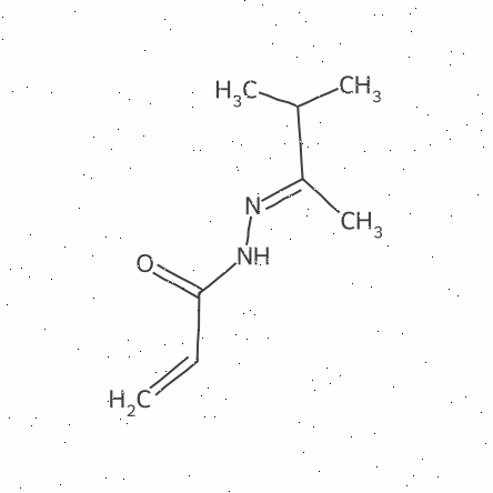 C=CC(=O)N/N=C(\C)C(C)C